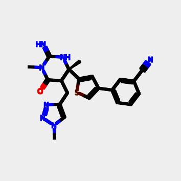 CN1C(=N)N[C@](C)(c2cc(-c3cccc(C#N)c3)cs2)C(Cc2cn(C)nn2)C1=O